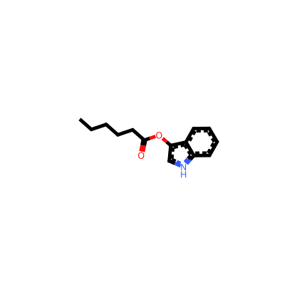 CCCCCC(=O)Oc1c[nH]c2ccccc12